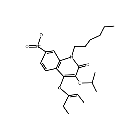 CC=C(CC)Oc1c(OC(C)C)c(=O)n(CCCCCC)c2cc([N+](=O)[O-])ccc12